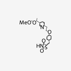 COCOC(C)c1ccc(CCOc2ccc(C=C3SC(=O)NC3=O)cc2)nc1